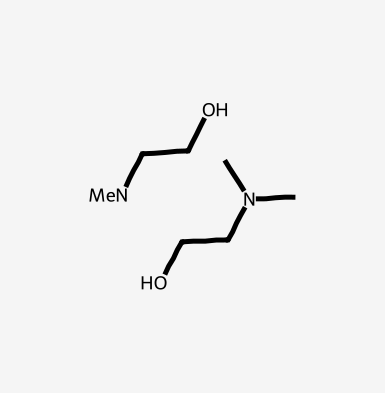 CN(C)CCO.CNCCO